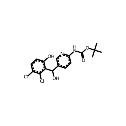 CC(C)(C)OC(=O)Nc1ccc(C(O)c2c(O)ccc(Cl)c2Cl)cn1